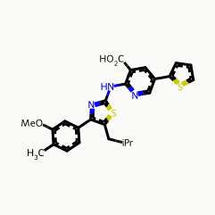 COc1cc(-c2nc(Nc3ncc(-c4cccs4)cc3C(=O)O)sc2CC(C)C)ccc1C